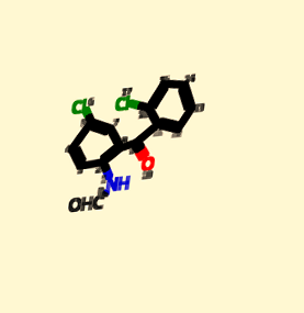 O=CNc1ccc(Cl)cc1C(=O)c1ccccc1Cl